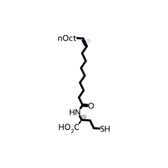 CCCCCCCC/C=C\CCCCCCCC(=O)N[C@@H](CCS)C(=O)O